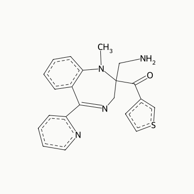 CN1c2ccccc2C(c2ccccn2)=NCC1(CN)C(=O)c1ccsc1